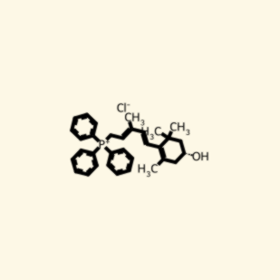 CC(C=CC1=C(C)C[C@@H](O)CC1(C)C)=CC[P+](c1ccccc1)(c1ccccc1)c1ccccc1.[Cl-]